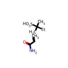 C=CC(N)=O.CCC(C)(C)S(=O)(=O)O